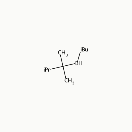 CCC(C)BC(C)(C)C(C)C